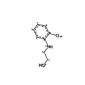 OCCNc1cc[c]cc1Cl